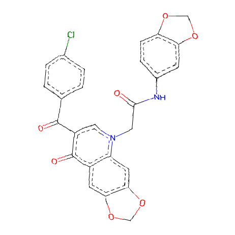 O=C(Cn1cc(C(=O)c2ccc(Cl)cc2)c(=O)c2cc3c(cc21)OCO3)Nc1ccc2c(c1)OCO2